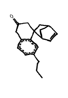 CCCc1ccc2c(c1)C1(CC(=O)C2)CC2C=CC1C2